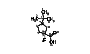 CC(C)(C)N1CC[C@](F)(C(=O)O)C1